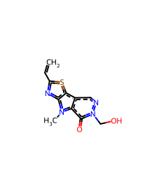 C=Cc1nc2c(s1)c1cnn(CO)c(=O)c1n2C